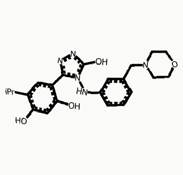 CC(C)c1cc(-c2nnc(O)n2Nc2cccc(CN3CCOCC3)c2)c(O)cc1O